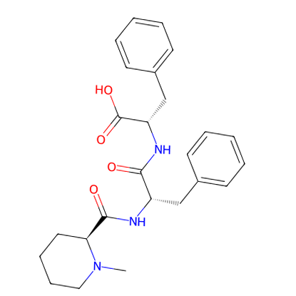 CN1CCCC[C@H]1C(=O)N[C@@H](Cc1ccccc1)C(=O)N[C@@H](Cc1ccccc1)C(=O)O